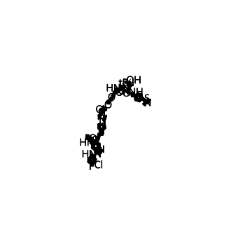 C=CC(=O)Nc1cc2c(Nc3ccc(F)c(Cl)c3)ncnc2cc1OCCCN1CCC(N2CCN(C(=O)CCOCCOCCC(=O)N[C@@H](C(=O)N3C[C@H](O)C[C@H]3C(=O)NCc3ccc(-c4scnc4C)cc3)C(C)(C)C)CC2)CC1